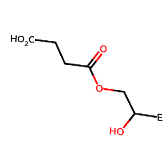 CCC(O)COC(=O)CCC(=O)O